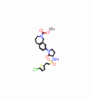 CC(C)(C)OC(=O)N1CCCc2ccc(N3CC[C@H](NS(=O)(=O)C=Cc4ccc(Cl)s4)C3=O)cc2C1